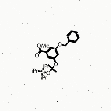 COC(=O)c1cc(OCc2ccccc2)cc(OC(C)(C)O[Si](C(C)C)(C(C)C)C(C)C)c1